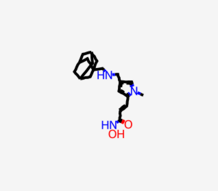 Cn1cc(CNCC23CC4CC(CC(C4)C2)C3)cc1C=CC(=O)NO